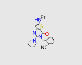 CCNc1cc2nc(N3CCCCC3)n(Cc3ccccc3C#N)c(=O)c2s1